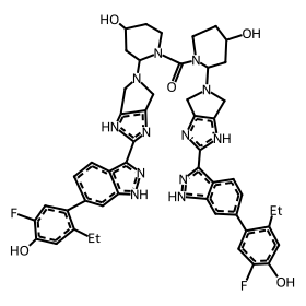 CCc1cc(O)c(F)cc1-c1ccc2c(-c3nc4c([nH]3)CN(C3CC(O)CCN3C(=O)N3CCC(O)CC3N3Cc5nc(-c6n[nH]c7cc(-c8cc(F)c(O)cc8CC)ccc67)[nH]c5C3)C4)n[nH]c2c1